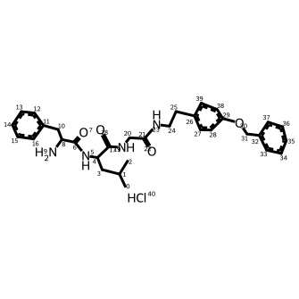 CC(C)CC(NC(=O)C(N)Cc1ccccc1)C(=O)NCC(=O)NCCc1ccc(OCc2ccccc2)cc1.Cl